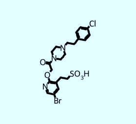 O=C(COc1ncc(Br)cc1CCS(=O)(=O)O)N1CCN(CCc2ccc(Cl)cc2)CC1